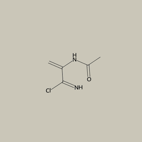 C=C(NC(C)=O)C(=N)Cl